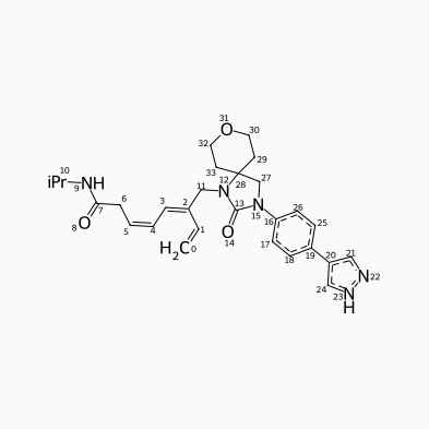 C=C/C(=C\C=C/CC(=O)NC(C)C)CN1C(=O)N(c2ccc(-c3cn[nH]c3)cc2)CC12CCOCC2